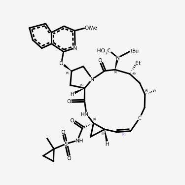 CC[C@@H]1C[C@H](C)CC/C=C\[C@@H]2C[C@@]2(C(=O)NS(=O)(=O)C2(C)CC2)NC(=O)[C@@H]2C[C@@H](Oc3nc(OC)cc4ccccc34)CN2C(=O)[C@H]1N(C(=O)O)C(C)(C)C